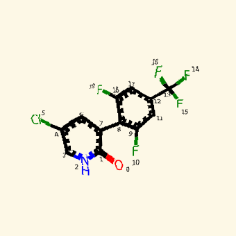 O=c1[nH]cc(Cl)cc1-c1c(F)cc(C(F)(F)F)cc1F